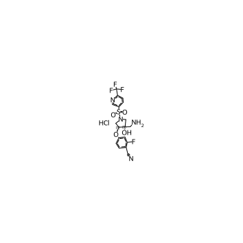 Cl.N#Cc1ccc(O[C@H]2CN(S(=O)(=O)c3ccc(C(F)(F)F)nc3)C[C@@]2(O)CN)cc1F